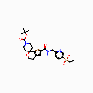 CCS(=O)(=O)c1ccc(CNC(=O)c2cc3c(s2)C2(CCN(C(=O)OC(C)(C)C)CC2)OC[C@H]3C)nc1